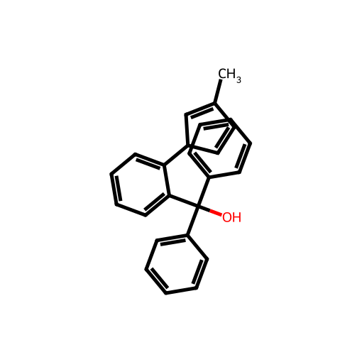 CC1=CC(c2ccccc2C(O)(c2ccccc2)c2ccccc2)C=C1